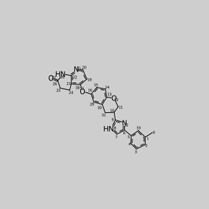 Cc1cccc(-c2c[nH]c(C3COc4ccc(Oc5ccnc6c5CCC(=O)N6)cc4C3)n2)c1